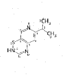 CC(C)c1cc2c(cn1)SNC=N2